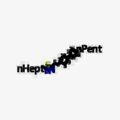 CCCCCCCc1nnc(CCc2ccc(-c3ccc(CCCCC)cc3)cc2)s1